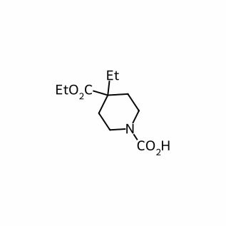 CCOC(=O)C1(CC)CCN(C(=O)O)CC1